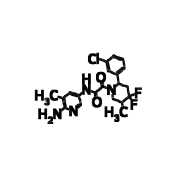 Cc1cc(NC(=O)C(=O)N2CC(C)C(F)(F)CC2c2cccc(Cl)c2)cnc1N